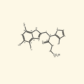 Cc1ccsc1N(Cc1nc2c(F)c(F)cc(F)c2s1)C(=O)CCC(=O)O